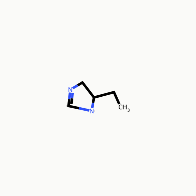 CCC1CN=[C][N]1